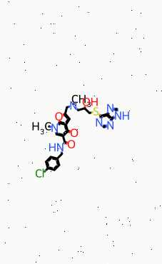 CN(Cc1cc2c(=O)c(C(=O)NCc3ccc(Cl)cc3)cn(C)c2o1)CC(O)CSc1ncnc2[nH]cnc12